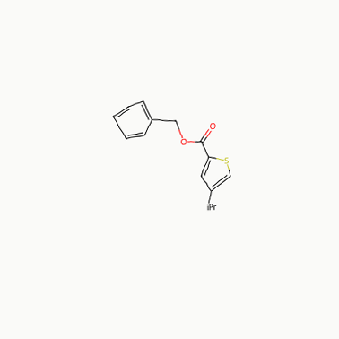 CC(C)c1csc(C(=O)OCc2ccccc2)c1